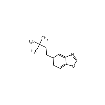 CC(C)(C)CCC1C=c2ncoc2=CC1